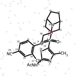 CC(=O)Nc1nc(C)c(S(=O)(=O)N2CC3CCC(C2)N3CCOc2ccc(C#N)cc2C#N)s1